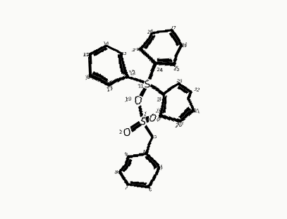 O=S(=O)(Cc1ccccc1)OS(c1ccccc1)(c1ccccc1)c1ccccc1